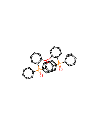 O=P(c1c#cccc1)(c1ccccc1)c1ccccc1Oc1ccccc1P(=O)(c1ccccc1)c1ccccc1